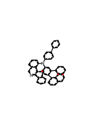 c1ccc(-c2ccc(N(c3ccc(-c4cccc5ccccc45)c(-c4ccccc4)c3)c3cccc4cnc5c6ccccc6oc5c34)cc2)cc1